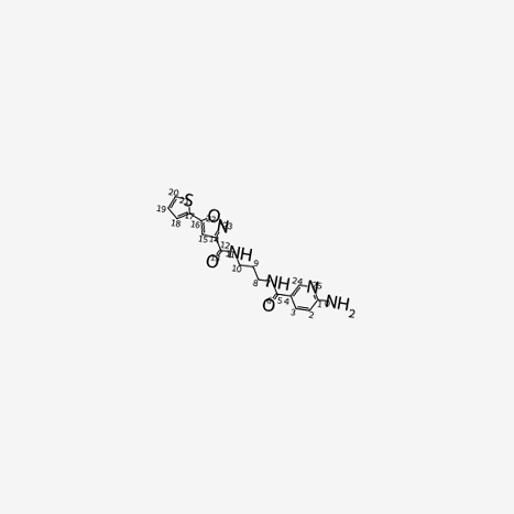 Nc1ccc(C(=O)NCCCNC(=O)c2cc(-c3cccs3)on2)cn1